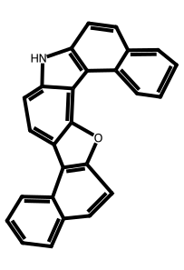 c1ccc2c(c1)ccc1oc3c(ccc4[nH]c5ccc6ccccc6c5c43)c12